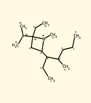 CCCC(C)C(CC)C1CC(CC)(B(C)C)N1C